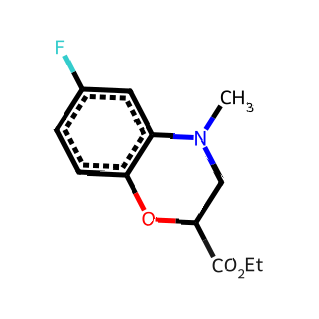 CCOC(=O)C1CN(C)c2cc(F)ccc2O1